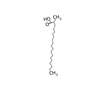 CCCCCCCCCCCCCCCCCC(CC)C(=O)O